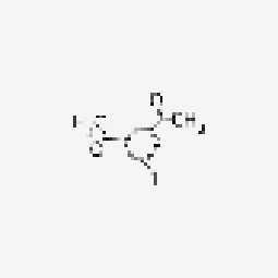 CC(=O)c1cc(I)cc(C(C)=O)c1